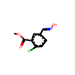 COC(=O)c1cc(/C=N/O)ccc1Cl